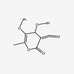 CC1=C(OC(C)C)C(OC(C)C)C(=C=O)C(=O)O1